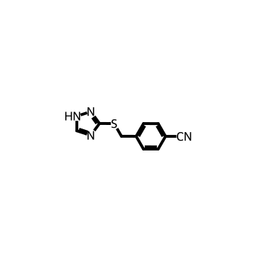 N#Cc1ccc(CSc2nc[nH]n2)cc1